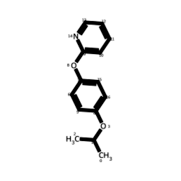 CC(C)Oc1ccc(Oc2ccccn2)cc1